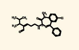 CC(C)C(C)C(C=O)=CCCN[C@@H]1N=C(c2ccccc2)c2cc(Cl)ccc2N(C)C1=O